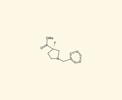 COC(=O)[C@]1(F)CCN(Cc2ccccc2)C1